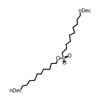 CCCCCCCCCCCCCCCCCCCCOS(=O)(=O)CCCCCCCCCCCCCCCCCCCC